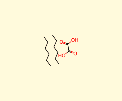 CCCCCC.CCCCCC.O=C(O)C(=O)O